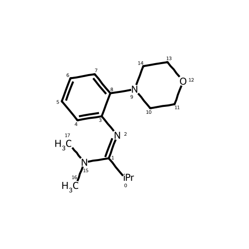 CC(C)C(=Nc1ccccc1N1CCOCC1)N(C)C